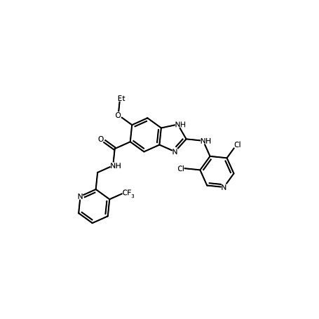 CCOc1cc2[nH]c(Nc3c(Cl)cncc3Cl)nc2cc1C(=O)NCc1ncccc1C(F)(F)F